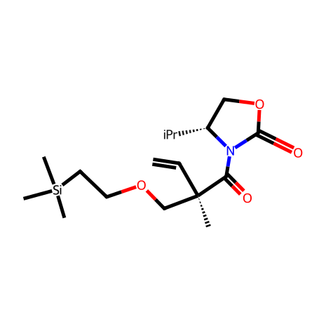 C=C[C@](C)(COCC[Si](C)(C)C)C(=O)N1C(=O)OC[C@H]1C(C)C